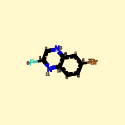 Fc1cnc2cc(Br)ccc2n1